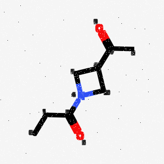 CCC(=O)N1CC(C(C)=O)C1